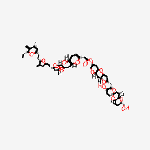 C=C1CC(CC[C@]23C[C@H]4CC(O2)[C@@H]2O[C@H]5CC[C@H](CC(=O)O[C@H]6CO[C@H]7C[C@H]8O[C@@H](C[C@@H]9O[C@@]%10(CC[C@@H]9O)C[C@H](C)[C@@H]9O[C@H](CO)CC[C@@H]9O%10)CC8OC7C6)O[C@@H]5C(O3)C2O4)O[C@H]1CC[C@H]1C[C@@H](C)C(=C)[C@@H](CC)O1